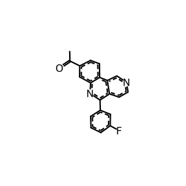 CC(=O)c1ccc2c(c1)nc(-c1cccc(F)c1)c1ccncc12